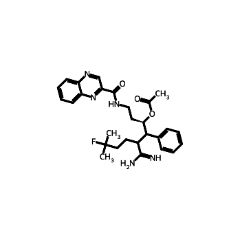 CC(=O)O[C@H](CCNC(=O)c1cnc2ccccc2n1)C(c1ccccc1)C(CCC(C)(C)F)C(=N)N